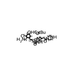 CC(C)(C)OC=O.NCc1c(Cl)cccc1C=CCS(=O)(=O)Nc1ncc(CC(=O)N2CCNCC2)s1